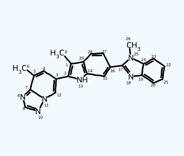 Cc1c(-c2cc(C)c3ncnn3c2)[nH]c2cc(-c3nc4ccccc4n3C)ccc12